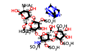 C1N2CN3CN1CN(C2)C3.CC(=O)N[C@@H]1[C@@H](O)[C@H](O[C@@H]2O[C@H](C(=O)O)[C@@H](O[C@@H]3O[C@H](CO)[C@@H](O[C@H]4O[C@@H](C(=O)O)[C@H](O)[C@@H](O)[C@@H]4OS(=O)(=O)O)[C@H](OS(=O)(=O)O)[C@H]3NS(=O)(=O)O)[C@H](O)[C@H]2OS(=O)(=O)O)[C@H](COS(=O)(=O)O)O[C@H]1O